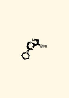 O=Cc1cnn2ccc(N3CCCCC3)nc12